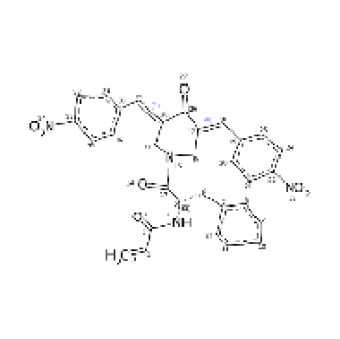 C=CC(=O)N[C@@H](Cc1ccccc1)C(=O)N1C/C(=C\c2ccc([N+](=O)[O-])cc2)C(=O)/C(=C/c2ccc([N+](=O)[O-])cc2)C1